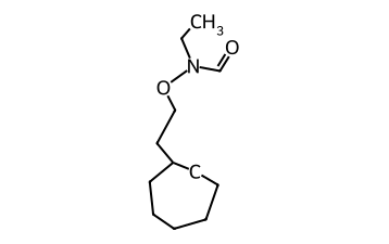 CCN(C=O)OCCC1CCCCCC1